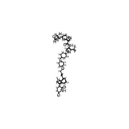 Cn1nc(C2CCC(=O)NC2=O)c2cccc(C#CCOC3CCN(CC4CCC(n5cc(NC(=O)c6cnn7ccc(N8C[C@@H]9C[C@H]8CO9)nc67)c(C(F)F)n5)CC4)CC3)c21